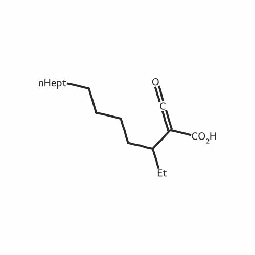 CCCCCCCCCCCC(CC)C(=C=O)C(=O)O